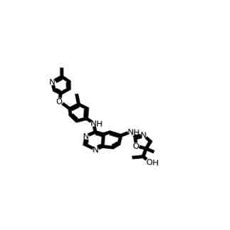 Cc1ccc(Oc2ccc(Nc3ncnc4ccc(NC5=NCC(C)(C(C)O)O5)cc34)cc2C)cn1